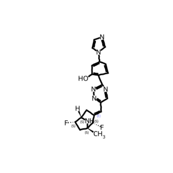 C[C@]12C[C@H](F)[C@H](C/C(=C\c3cnc(-c4ccc(-n5ccnc5)cc4O)nn3)[C@@H]1F)N2